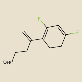 C=C(CCC=O)C1=C(F)C=C(F)CC1